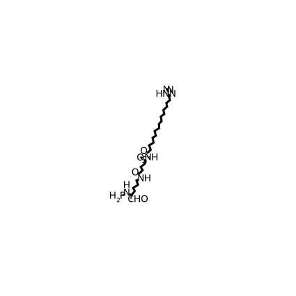 O=C[C@H](CCCCNC(=O)CCC[S+]([O-])NC(=O)CCCCCCCCCCCCCCCc1nnn[nH]1)NP